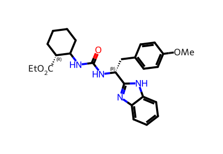 CCOC(=O)[C@@H]1CCCCC1NC(=O)N[C@H](Cc1ccc(OC)cc1)c1nc2ccccc2[nH]1